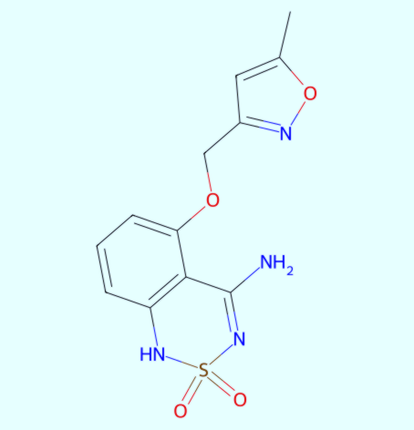 Cc1cc(COc2cccc3c2C(N)=NS(=O)(=O)N3)no1